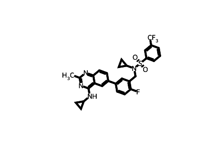 Cc1nc(NC2CC2)c2cc(-c3ccc(F)c(CN(C4CC4)S(=O)(=O)c4cccc(C(F)(F)F)c4)c3)ccc2n1